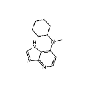 CN(c1ccnc2nc[nH]c12)C1CCCCC1